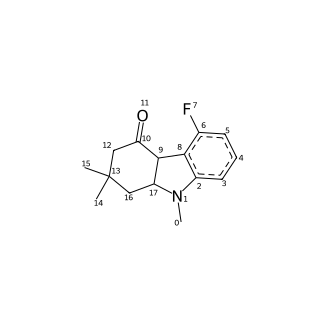 CN1c2cccc(F)c2C2C(=O)CC(C)(C)CC21